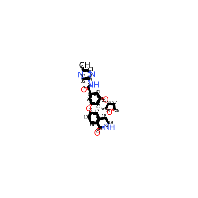 Cc1cnc(NC(=O)c2cc(Oc3ccc4c(c3)CCNC4=O)cc(O[C@H]3CCOC3)c2)cn1